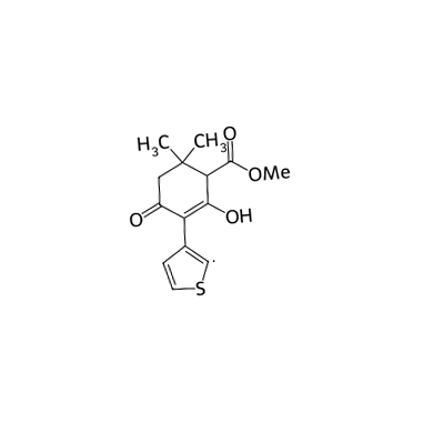 COC(=O)C1C(O)=C(c2[c]scc2)C(=O)CC1(C)C